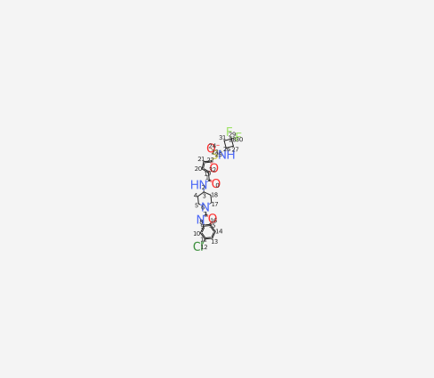 O=C(NC1CCN(c2nc3cc(Cl)ccc3o2)CC1)c1ccc([S+]([O-])NC2CC(F)(F)C2)o1